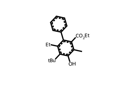 CCOC(=O)c1c(C)c(O)c(C(C)(C)C)c(CC)c1-c1ccccc1